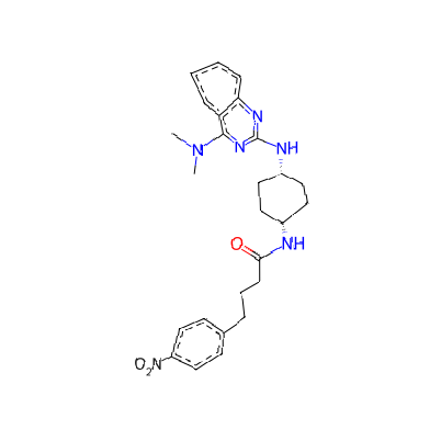 CN(C)c1nc(N[C@H]2CC[C@@H](NC(=O)CCCc3ccc([N+](=O)[O-])cc3)CC2)nc2ccccc12